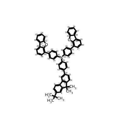 CC(C)(C)c1ccc2c(c1)C(C)(C)c1ccc(-c3ccc(N(c4ccc(-c5cccc6c5oc5ccccc56)cc4)c4ccc(-c5cccc6c5oc5ccccc56)cc4)cc3)cc1-2